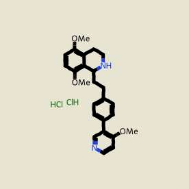 COc1ccncc1-c1ccc(CCC2NCCc3c(OC)ccc(OC)c32)cc1.Cl.Cl